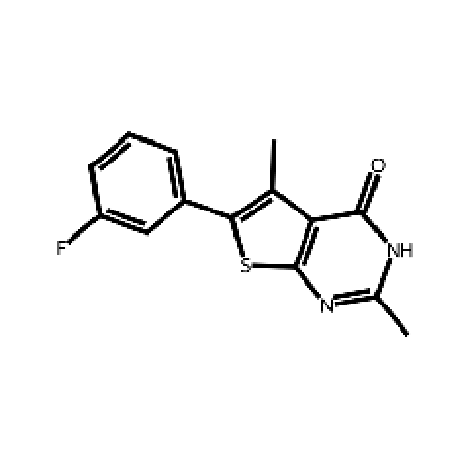 Cc1nc2sc(-c3cccc(F)c3)c(C)c2c(=O)[nH]1